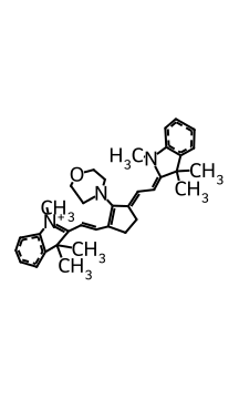 CN1C(=CC=C2CCC(C=CC3=[N+](C)c4ccccc4C3(C)C)=C2N2CCOCC2)C(C)(C)c2ccccc21